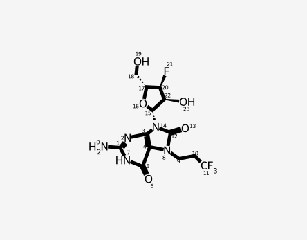 Nc1nc2c(c(=O)[nH]1)n(CCC(F)(F)F)c(=O)n2[C@@H]1O[C@H](CO)[C@@H](F)[C@H]1O